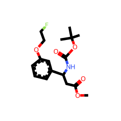 COC(=O)CC(NC(=O)OC(C)(C)C)c1cccc(OCCF)c1